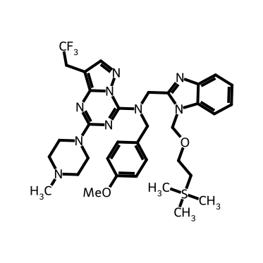 COc1ccc(CN(Cc2nc3ccccc3n2COCCS(C)(C)C)c2nc(N3CCN(C)CC3)nc3c(CC(F)(F)F)cnn23)cc1